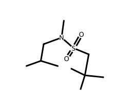 CC(C)CN(C)S(=O)(=O)CC(C)(C)C